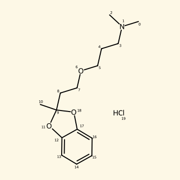 CN(C)CCCOCCC1(C)Oc2ccccc2O1.Cl